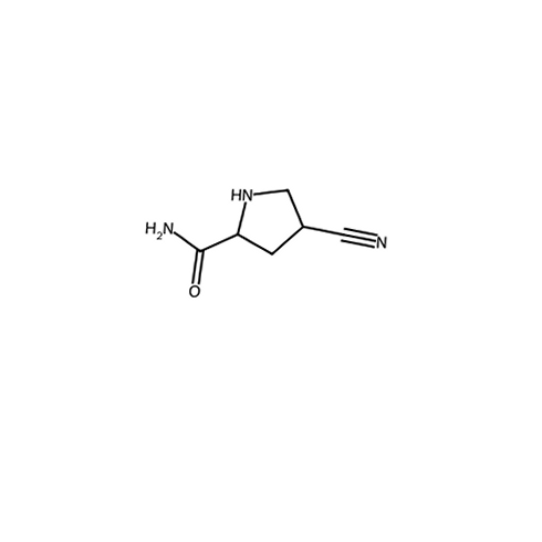 N#CC1CNC(C(N)=O)C1